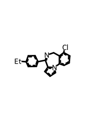 CCc1ccc(C2=NCc3c(Cl)cccc3-n3cccc32)cc1